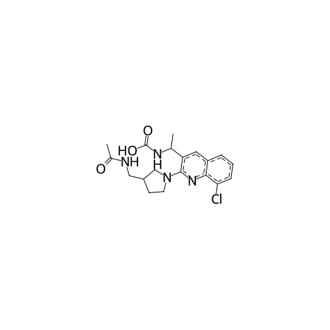 CC(=O)NCC1CCN(c2nc3c(Cl)cccc3cc2C(C)NC(=O)O)C1